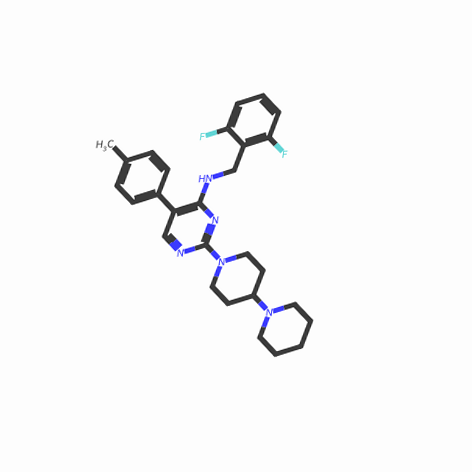 Cc1ccc(-c2cnc(N3CCC(N4CCCCC4)CC3)nc2NCc2c(F)cccc2F)cc1